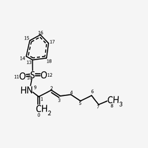 C=C(C=CCCCCC)NS(=O)(=O)c1ccccc1